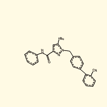 CCCCc1cc(C(=O)Nc2ccccc2)nn1Cc1ccc(-c2ccccc2C#N)cc1